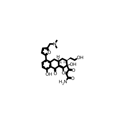 CN(C)Cc1ccc(-c2ccc(O)c3c2C[C@H]2C[C@@H](CCO)[C@@](O)(C(=O)CC(N)=O)C(O)=C2C3=O)o1